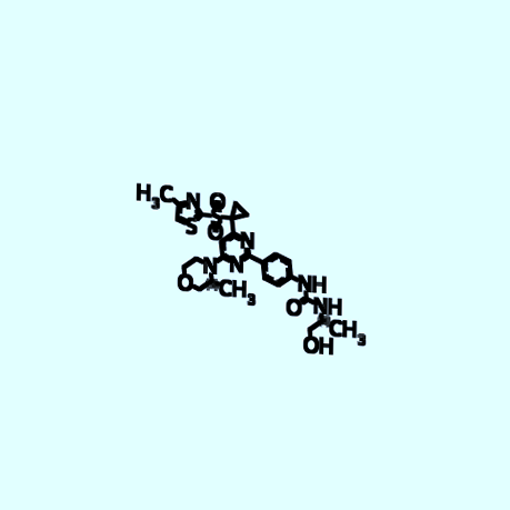 Cc1csc(S(=O)(=O)C2(c3cc(N4CCOC[C@@H]4C)nc(-c4ccc(NC(=O)N[C@H](C)CO)cc4)n3)CC2)n1